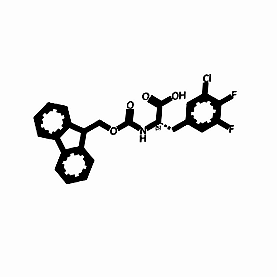 O=C(N[C@@H](Cc1cc(F)c(F)c(Cl)c1)C(=O)O)OCC1c2ccccc2-c2ccccc21